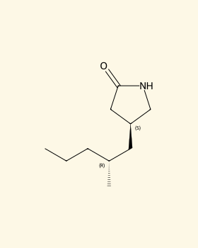 CCC[C@@H](C)C[C@@H]1CNC(=O)C1